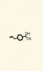 C=CCc1ccc(C(O)C#N)cc1